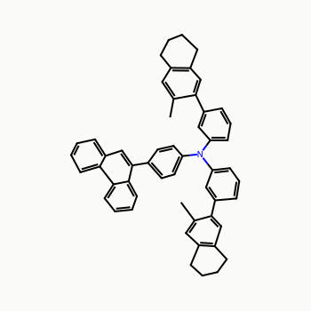 Cc1cc2c(cc1-c1cccc(N(c3ccc(-c4cc5ccccc5c5ccccc45)cc3)c3cccc(-c4cc5c(cc4C)CCCC5)c3)c1)CCCC2